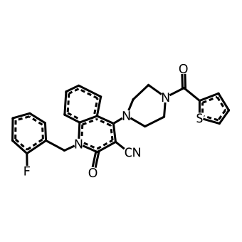 N#Cc1c(N2CCN(C(=O)c3cccs3)CC2)c2ccccc2n(Cc2ccccc2F)c1=O